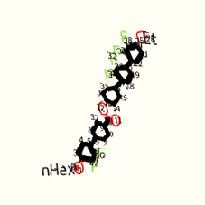 CCCCCCOc1ccc(C2CCC(C(=O)OC3CCC(c4ccc(-c5ccc(OCC)c(F)c5F)c(F)c4F)CC3)CC2)c(F)c1F